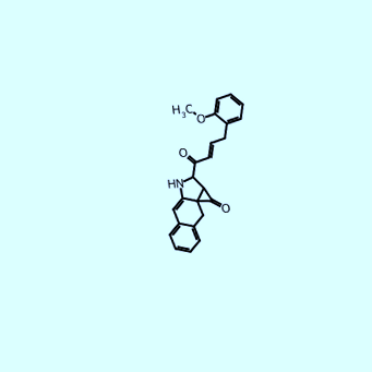 COc1ccccc1CC=CC(=O)C1NC2=Cc3ccccc3CC23C(=O)C13